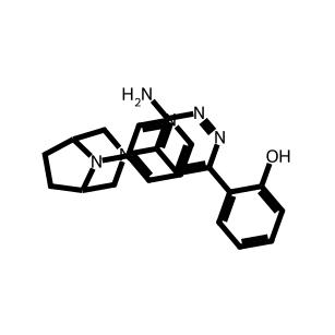 Nc1nnc(-c2ccccc2O)cc1N1CC2CCC(C1)N2c1cccnc1